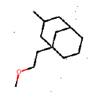 COCCC12CCCC(CC(C)C1)C2